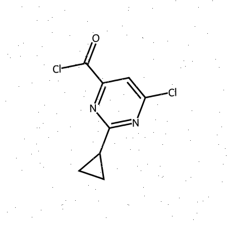 O=C(Cl)c1cc(Cl)nc(C2CC2)n1